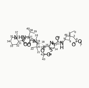 CCC1(CC(=O)OC)CC(NC(=O)c2csc([C@@H](C[C@H](C(C)C)N(C)C(=O)[C@@H](NC(=O)C3CCCCN3C)C(C)C)OC(C)=O)n2)C1